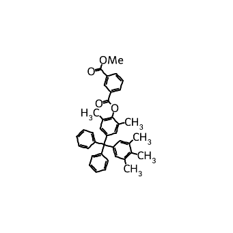 COC(=O)c1cccc(C(=O)Oc2c(C)cc(C(c3ccccc3)(c3ccccc3)c3cc(C)c(C)c(C)c3)cc2C)c1